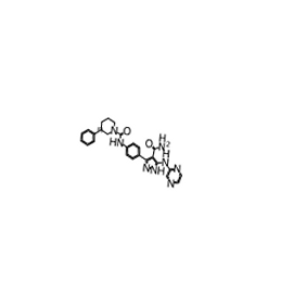 NC(=O)c1c(-c2ccc(NC(=O)N3CCC[C@H](c4ccccc4)C3)cc2)n[nH]c1Nc1cnccn1